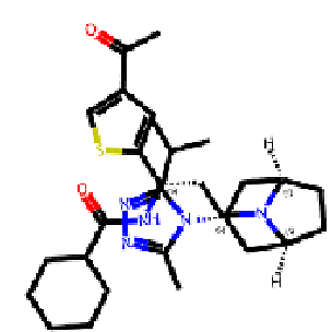 CC(=O)c1csc([C@H](CCN2[C@@H]3CC[C@H]2C[C@H](n2c(C)nnc2C(C)C)C3)NC(=O)C2CCCCC2)c1